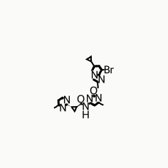 Cc1cc(NC(=O)[C@H]2C[C@@H]2c2nccc(C)n2)nc(OCc2cn3cc(C4CC4)cc(Br)c3n2)n1